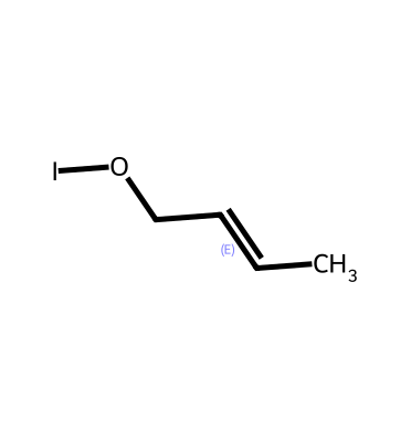 C/C=C/COI